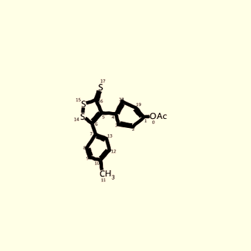 CC(=O)Oc1ccc(-c2c(-c3ccc(C)cc3)ssc2=S)cc1